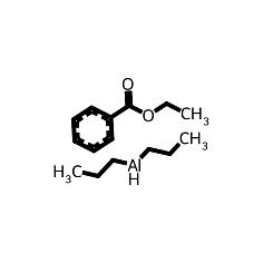 CCOC(=O)c1ccccc1.CC[CH2][AlH][CH2]CC